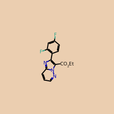 CCOC(=O)c1c(-c2ccc(F)cc2F)nc2cccnn12